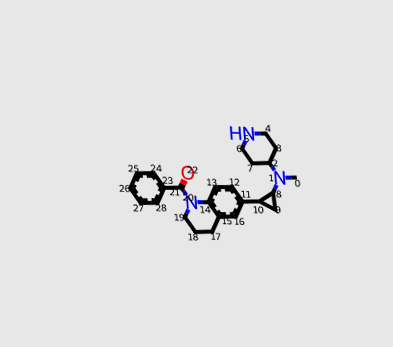 CN(C1CCNCC1)C1CC1c1ccc2c(c1)CCCN2C(=O)c1ccccc1